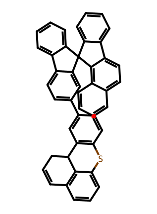 C1=Cc2cccc3c2C(C1)c1cc(-c2ccc4c(c2)C2(c5ccccc5-4)c4ccccc4-c4ccc5ccccc5c42)ccc1S3